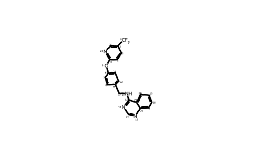 FC(F)(F)c1ccc(Oc2ccc(CNc3ncnc4ccccc34)cc2)nc1